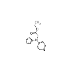 CCOC(=O)CN(c1ccncc1)n1cccc1